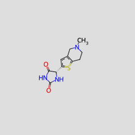 CN1CCc2sc([C@@H]3NC(=O)NC3=O)cc2C1